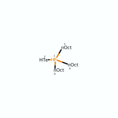 CCCCCCCC[PH]([TeH])(CCCCCCCC)CCCCCCCC